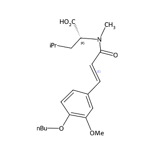 CCCCOc1ccc(/C=C/C(=O)N(C)[C@H](CC(C)C)C(=O)O)cc1OC